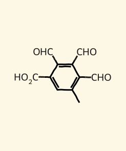 Cc1cc(C(=O)O)c(C=O)c(C=O)c1C=O